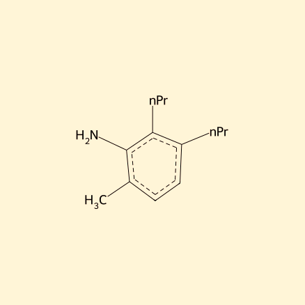 CCCc1ccc(C)c(N)c1CCC